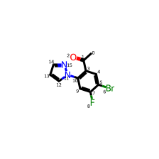 CC(=O)c1cc(Br)c(F)cc1-n1cccn1